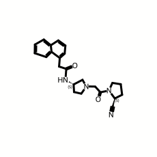 N#C[C@@H]1CCCN1C(=O)CN1CC[C@H](NC(=O)Cc2cccc3ccccc23)C1